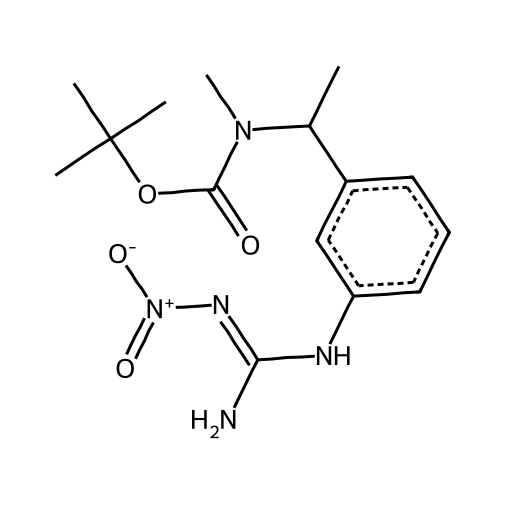 CC(c1cccc(NC(N)=N[N+](=O)[O-])c1)N(C)C(=O)OC(C)(C)C